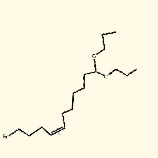 CCCOC(CCCCC/C=C\CCCBr)OCCC